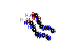 CS(=O)(=O)Nc1cccc(C(=O)Nc2ccc(-c3ccc4ncc(N5CCN(Cc6cccnc6)CC5)nc4c3)cc2)c1.NS(=O)(=O)c1cccc(C(=O)Nc2ccc(-c3ccc4ncc(N5CCN(Cc6cccnc6)CC5)nc4c3)cc2)c1